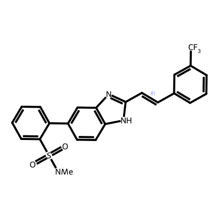 CNS(=O)(=O)c1ccccc1-c1ccc2[nH]c(/C=C/c3cccc(C(F)(F)F)c3)nc2c1